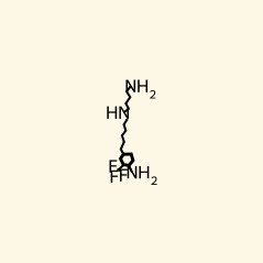 NCCCCNCCCCCCc1ccc(N)c(C(F)(F)F)c1